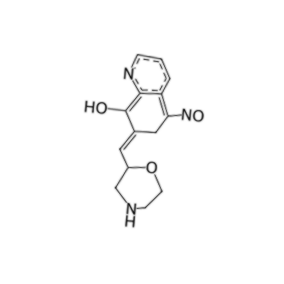 O=NC1=c2cccnc2=C(O)C(=CC2CNCCO2)C1